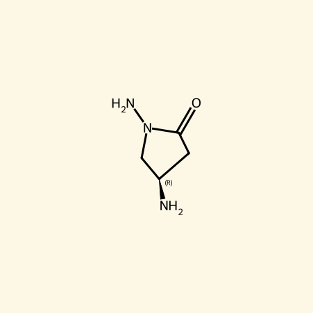 N[C@@H]1CC(=O)N(N)C1